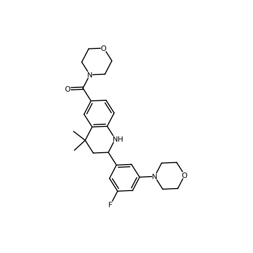 CC1(C)CC(c2cc(F)cc(N3CCOCC3)c2)Nc2ccc(C(=O)N3CCOCC3)cc21